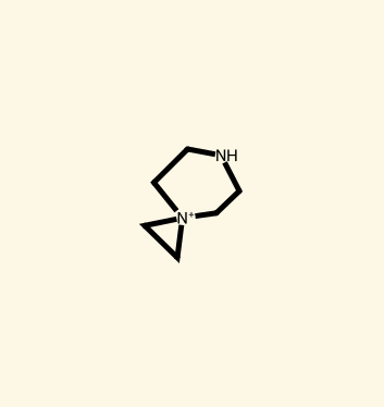 C1C[N+]2(CCN1)CC2